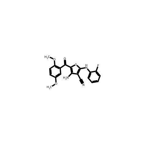 COc1ccc(OC)c(C(=O)c2sc(Nc3ccccc3F)c(C#N)c2N)c1